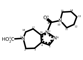 O=C(O)N1CCc2cnn(C(=O)N3CCCCC3)c2CC1